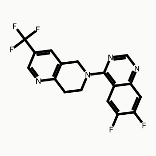 Fc1cc2ncnc(N3CCc4ncc(C(F)(F)F)cc4C3)c2cc1F